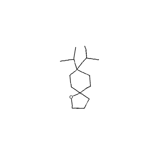 CC(C)C1(C(C)C)CCC2(CCCO2)CC1